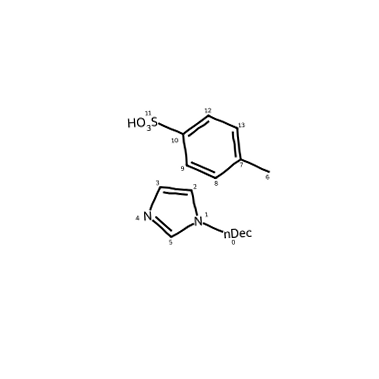 CCCCCCCCCCn1ccnc1.Cc1ccc(S(=O)(=O)O)cc1